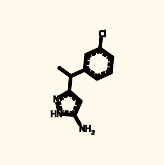 CC(c1cccc(Cl)c1)c1cc(N)[nH]n1